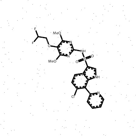 COc1nc(NS(=O)(=O)c2c[nH]c3c(-c4ccccn4)c(Cl)ccc23)nc(OC)c1OCC(F)F